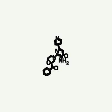 Nn1c(N2CCOC(C(=O)c3ccccc3)C2)nc(-c2ccncc2)cc1=O